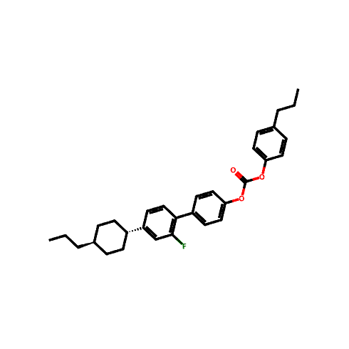 CCCc1ccc(OC(=O)Oc2ccc(-c3ccc([C@H]4CC[C@H](CCC)CC4)cc3F)cc2)cc1